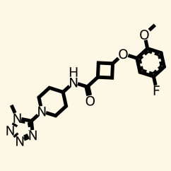 COc1ccc(F)cc1OC1CC(C(=O)NC2CCN(c3nnnn3C)CC2)C1